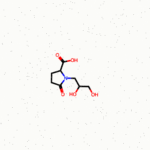 O=C(O)C1CCC(=O)N1CC(O)CO